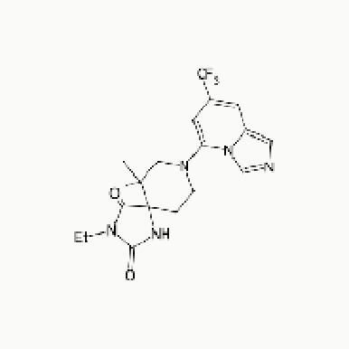 CCN1C(=O)NC2(CCN(c3cc(C(F)(F)F)cc4cncn34)CC2(C)C)C1=O